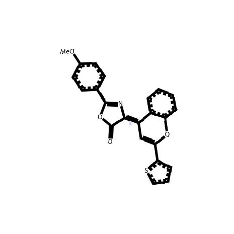 COc1ccc(C2=N/C(=C3/C=C(c4cccs4)Oc4ccccc43)C(=O)O2)cc1